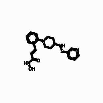 O=C(/C=C/c1ccccc1N1CCC(NSc2cccnc2)CC1)NO